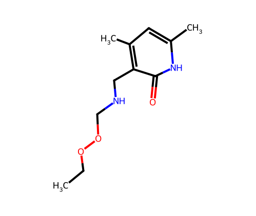 CCOOCNCc1c(C)cc(C)[nH]c1=O